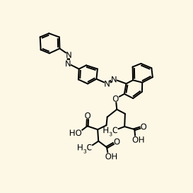 CC(CC(CCC(C(=O)O)C(C)C(=O)O)Oc1ccc2ccccc2c1N=Nc1ccc(N=Nc2ccccc2)cc1)C(=O)O